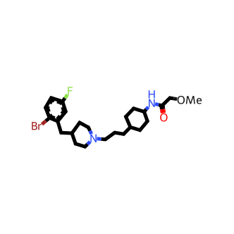 COCC(=O)NC1CCC(CCCN2CCC(Cc3cc(F)ccc3Br)CC2)CC1